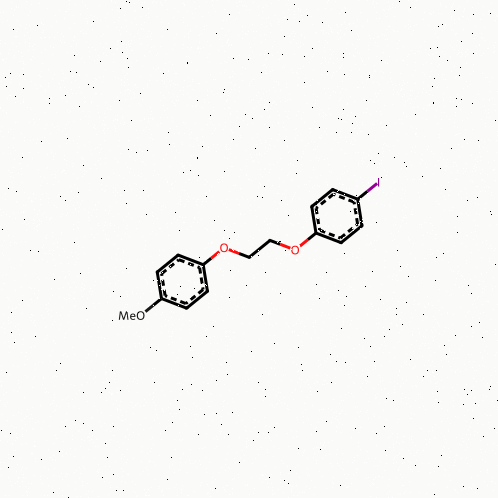 COc1ccc(OCCOc2ccc(I)cc2)cc1